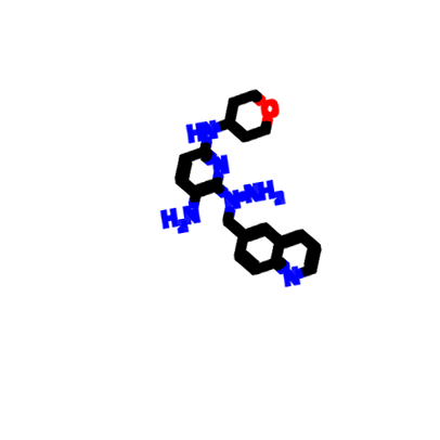 Nc1ccc(NC2CCOCC2)nc1N(N)Cc1ccc2ncccc2c1